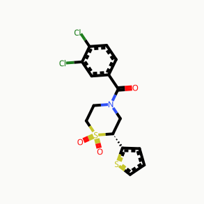 O=C(c1ccc(Cl)c(Cl)c1)N1CCS(=O)(=O)[C@@H](c2cccs2)C1